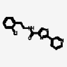 O=C(NCCc1ccccc1Cl)c1csc(-c2cccnc2)n1